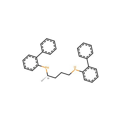 C[C@@H](CCCPc1ccccc1-c1ccccc1)Pc1ccccc1-c1ccccc1